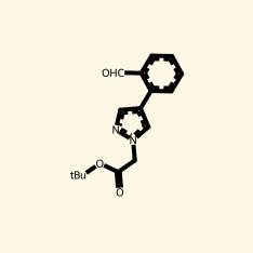 CC(C)(C)OC(=O)Cn1cc(-c2ccccc2C=O)cn1